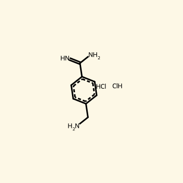 Cl.Cl.N=C(N)c1ccc(CN)cc1